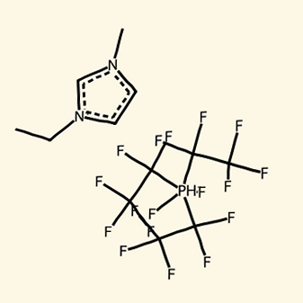 CC[n+]1ccn(C)c1.FC(F)(F)C(F)(F)[PH-](F)(F)(C(F)(F)C(F)(F)F)C(F)(F)C(F)(F)F